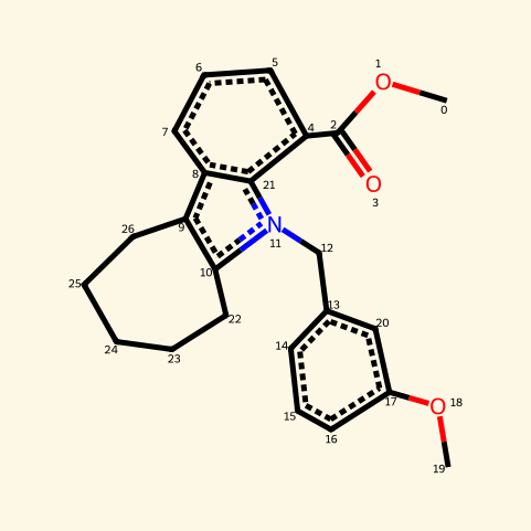 COC(=O)c1cccc2c3c(n(Cc4cccc(OC)c4)c12)CCCCC3